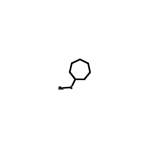 C[CH]C(C)SC1CCCCCC1